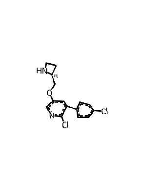 Clc1ccc(-c2cc(OC[C@@H]3CCN3)cnc2Cl)cc1